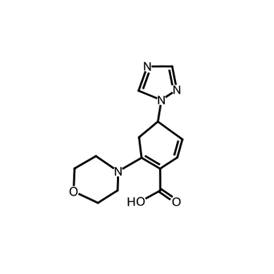 O=C(O)C1=C(N2CCOCC2)CC(n2cncn2)C=C1